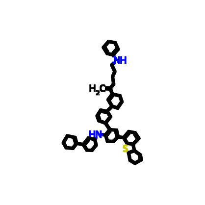 C=C(CCCCNC1=CCCC=C1)C1=CC(C2=CC=CC(C3=C(NC4C=C(C5=CCCCC5)CCC4)CCC(C4=CC=CC5C4SC4CCC=CC45)=C3)C2)CCC1